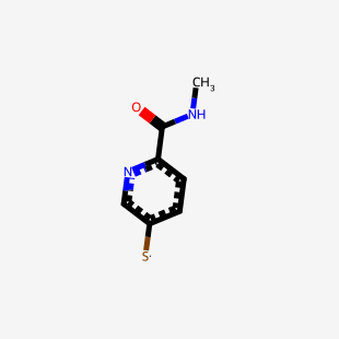 CNC(=O)c1ccc([S])cn1